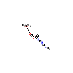 C=C(C)C(=O)OCCCCCCOc1ccc(C(=O)Oc2ccc(/N=N/c3ccc(/N=N/c4ccc(/N=N/C)cc4)cc3)c3ccccc23)cc1